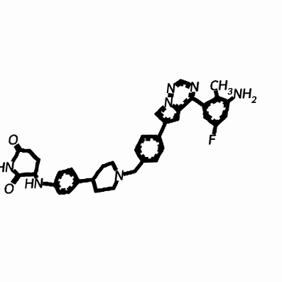 Cc1c(N)cc(F)cc1-c1ncnn2cc(-c3ccc(CN4CCC(c5ccc(NC6CCC(=O)NC6=O)cc5)CC4)cc3)cc12